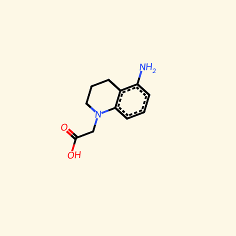 Nc1cccc2c1CCCN2CC(=O)O